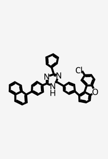 Clc1ccc2oc3cccc(-c4ccc(C5N=C(c6ccccc6)N=C(c6ccc(-c7cccc8ccccc78)cc6)N5)cc4)c3c2c1